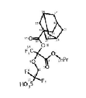 CCCOC(=O)C(OCC(F)(F)S(=O)(=O)O)(OC(=O)C12CC3CC(CC(C3)C1)C2)C(F)(F)F